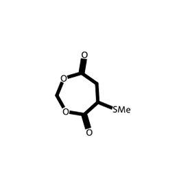 CSC1CC(=O)OCOC1=O